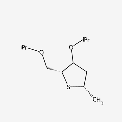 CC(C)OC[C@H]1S[C@@H](C)CC1OC(C)C